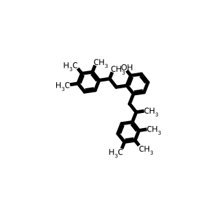 Cc1ccc(C(C)Cc2cccc(O)c2CC(C)c2ccc(C)c(C)c2C)c(C)c1C